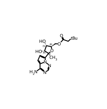 CC(C)(C)CC(=O)OC[C@H]1O[C@@](C)(c2ccc3c(N)ncnn23)[C@H](O)[C@@H]1O